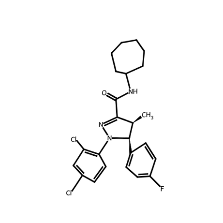 C[C@@H]1C(C(=O)NC2CCCCCC2)=NN(c2ccc(Cl)cc2Cl)[C@@H]1c1ccc(F)cc1